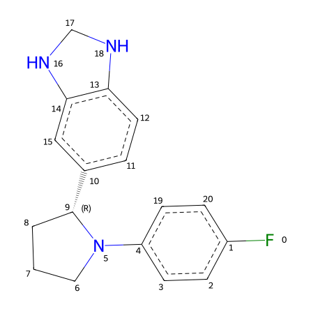 Fc1ccc(N2CCC[C@@H]2c2ccc3c(c2)NCN3)cc1